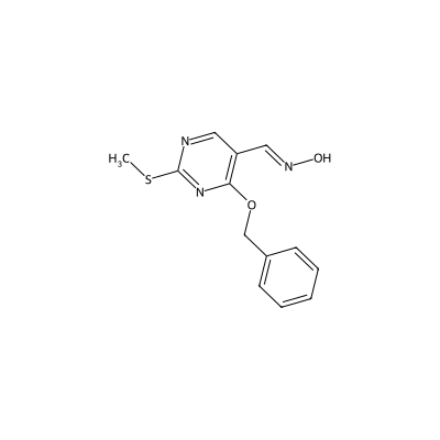 CSc1ncc(/C=N/O)c(OCc2ccccc2)n1